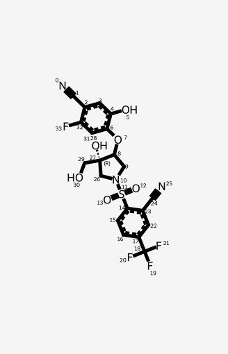 N#Cc1cc(O)c(OC2CN(S(=O)(=O)c3ccc(C(F)(F)F)cc3C#N)C[C@@]2(O)CO)cc1F